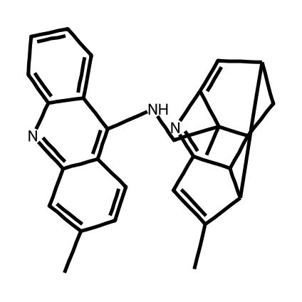 CC1=CC2=NC3=CC4CC(C2C14)C3(C)CNc1c2ccccc2nc2cc(C)ccc12